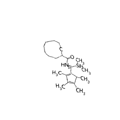 CC1=C(C)C(C)[C]([Ti]([NH]C(=O)C2CCCCCCCC2)[SiH](C)C)=C1C